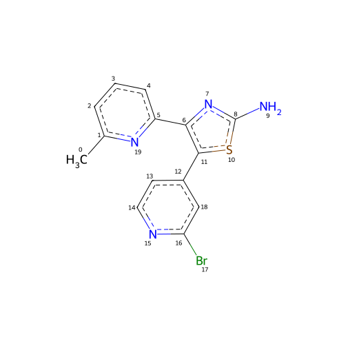 Cc1cccc(-c2nc(N)sc2-c2ccnc(Br)c2)n1